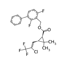 CC1(C)[C@H](C(=O)OCc2c(F)ccc(-c3ccccc3)c2F)[C@@H]1/C=C(\Cl)C(F)(F)F